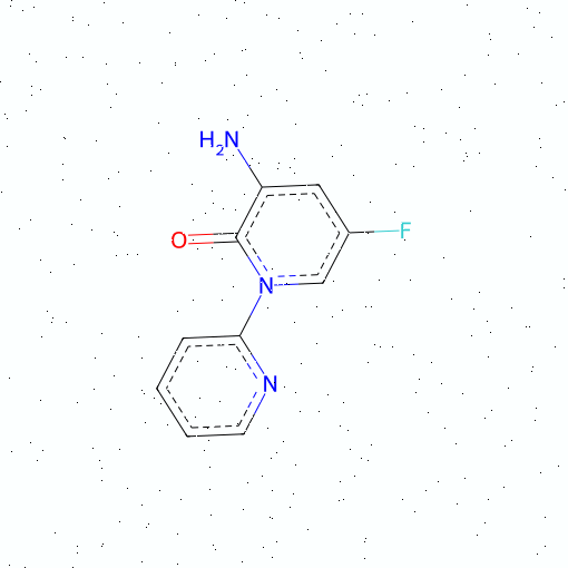 Nc1cc(F)cn(-c2ccccn2)c1=O